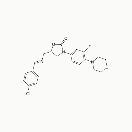 O=C1OC(CN=Cc2ccc(Cl)cc2)CN1c1ccc(N2CCOCC2)c(F)c1